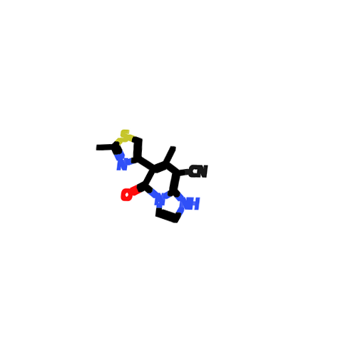 Cc1nc(-c2c(C)c(C#N)c3[nH]ccn3c2=O)cs1